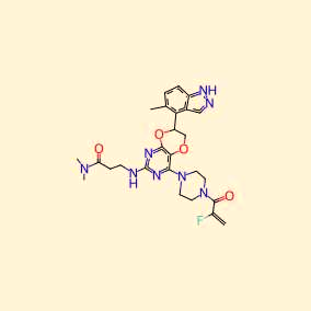 C=C(F)C(=O)N1CCN(c2nc(NCCC(=O)N(C)C)nc3c2OCC(c2c(C)ccc4[nH]ncc24)O3)CC1